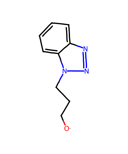 [O]CCCn1nnc2ccccc21